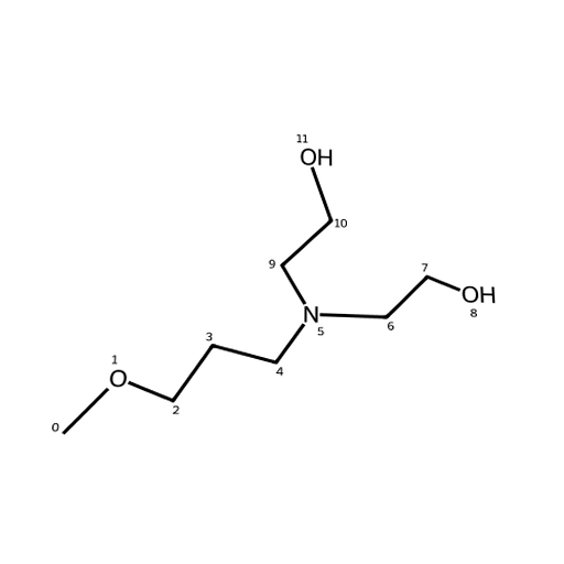 COCCCN(CCO)CCO